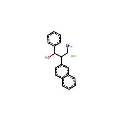 Cl.NCC(c1ccc2ccccc2c1)C(O)c1ccccc1